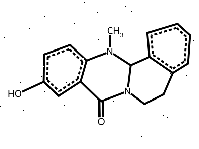 CN1c2ccc(O)cc2C(=O)N2CCc3ccccc3C21